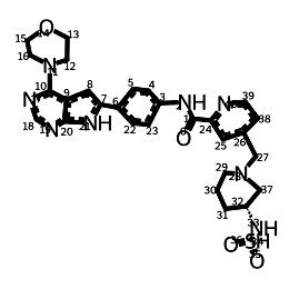 O=C(Nc1ccc(-c2cc3c(N4CCOCC4)ncnc3[nH]2)cc1)c1cc(CN2CCC[C@@H](N[SH](=O)=O)C2)ccn1